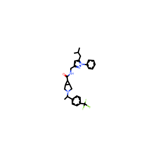 CC(C)Cc1cc(CNC(=O)C2C3CN(C(C)c4ccc(C(F)(F)F)cc4)CC32)nn1-c1ccccc1